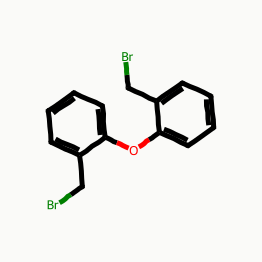 BrCc1ccccc1Oc1ccccc1CBr